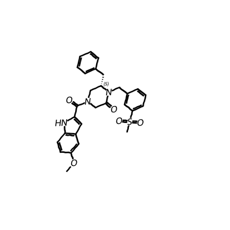 COc1ccc2[nH]c(C(=O)N3CC(=O)N(Cc4cccc(S(C)(=O)=O)c4)[C@@H](Cc4ccccc4)C3)cc2c1